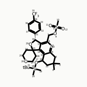 CC1(C)Cc2nc(COS(C)(=O)=O)c3c(c2C(O[Si](C)(C)C(C)(C)C)C1)C1(CCOCC1)O[C@@H]3c1ccc(C(F)(F)F)cc1